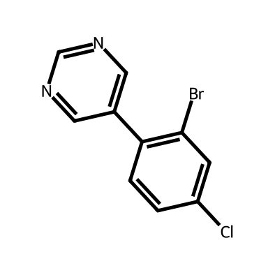 Clc1ccc(-c2cncnc2)c(Br)c1